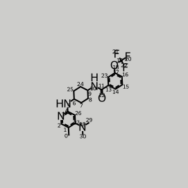 Cc1cnc(NC2CCC(NC(=O)c3cccc(OC(F)(F)F)c3)CC2)cc1N(C)C